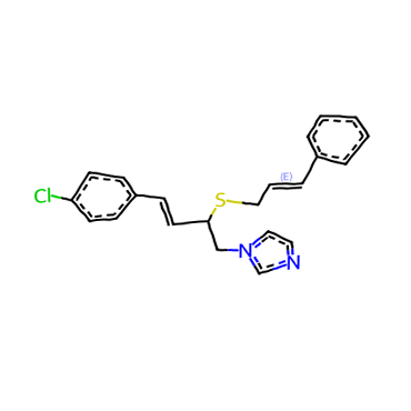 Clc1ccc(C=CC(Cn2ccnc2)SC/C=C/c2ccccc2)cc1